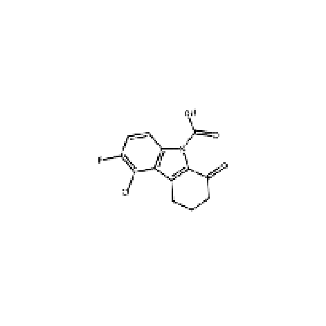 O=C1CCCc2c1n(C(=O)O)c1ccc(F)c(Cl)c21